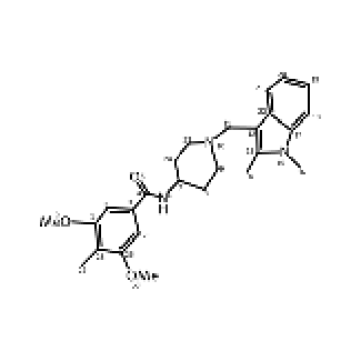 COc1cc(C(=O)NC2CCN(Cc3c(C)n(C)c4ccccc34)CC2)cc(OC)c1C